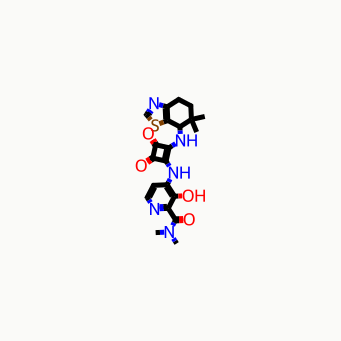 CN(C)C(=O)c1nccc(Nc2c(NC3c4scnc4CCC3(C)C)c(=O)c2=O)c1O